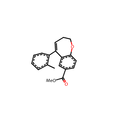 COC(=O)c1ccc2c(c1)C(c1ccccc1C)=CCCO2